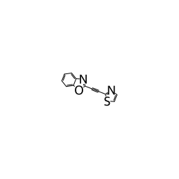 C(#Cc1nccs1)c1nc2ccccc2o1